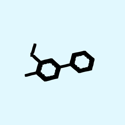 CSc1cc(-c2ccccc2)ccc1C